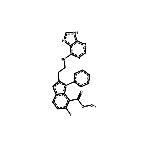 COC(=O)c1c(F)ccc2nc(CCNc3ncnc4[nH]cnc34)n(-c3ccccc3)c12